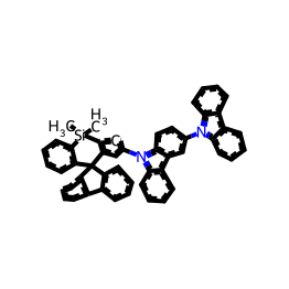 C[Si]1(C)c2ccccc2C2(c3ccccc3-c3ccccc32)c2cc(-n3c4ccccc4c4cc(-n5c6ccccc6c6ccccc65)ccc43)ccc21